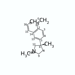 C=Cc1ccc([C@]2(C)CCN(C)C2)cc1/C=C\C